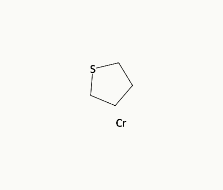 C1CCSC1.[Cr]